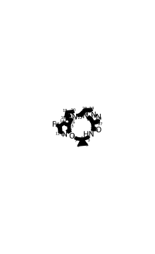 O=C1NCC2(CC2)COC2=NC=C(F)CC2[C@@]23C[C@@H]2CCN3c2ccn3ncc1c3n2